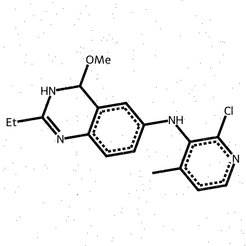 CCC1=Nc2ccc(Nc3c(C)ccnc3Cl)cc2C(OC)N1